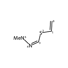 C=CS/C=N\NC